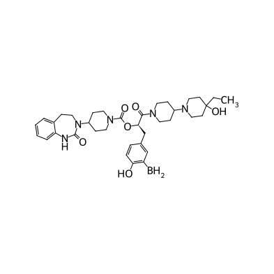 Bc1cc(C[C@@H](OC(=O)N2CCC(N3CCc4ccccc4NC3=O)CC2)C(=O)N2CCC(N3CCC(O)(CC)CC3)CC2)ccc1O